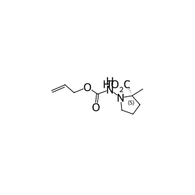 C=CCOC(=O)NN1CCC[C@@]1(C)C(=O)O